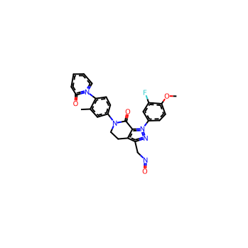 COc1ccc(-n2nc(CN=O)c3c2C(=O)N(c2ccc(-n4ccccc4=O)c(C)c2)CC3)cc1F